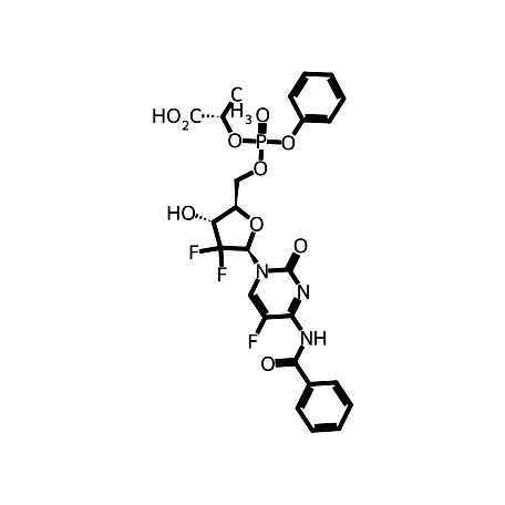 C[C@H](OP(=O)(OC[C@H]1O[C@@H](n2cc(F)c(NC(=O)c3ccccc3)nc2=O)C(F)(F)[C@@H]1O)Oc1ccccc1)C(=O)O